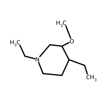 CCC1CCN(CC)CC1OC